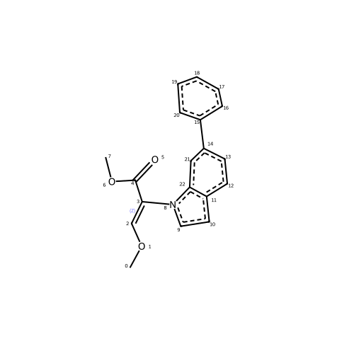 CO/C=C(/C(=O)OC)n1ccc2ccc(-c3ccccc3)cc21